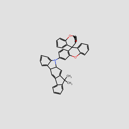 CC1(C)C2=CC3C(C=C2c2ccccc21)c1ccccc1N3c1ccc2c(c1)Oc1ccccc1C21c2ccccc2Oc2ccccc21